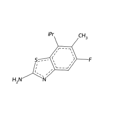 Cc1c(F)cc2nc(N)sc2c1C(C)C